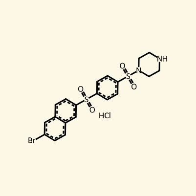 Cl.O=S(=O)(c1ccc(S(=O)(=O)N2CCNCC2)cc1)c1ccc2cc(Br)ccc2c1